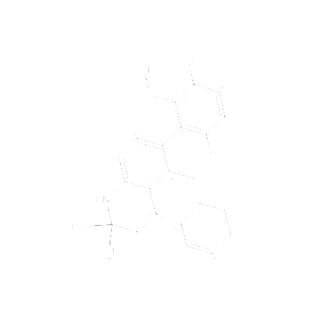 COc1c(O)ccc2c1-c1ccc3c(c1[C@@H](C1CC=CCC1)O2)C(C)=CC(C)(C)N3